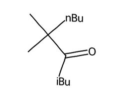 CCCCC(C)(C)C(=O)C(C)CC